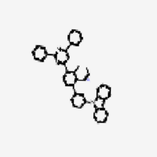 C/C=C\c1c(-c2cccc(-n3c4ccccc4c4ccccc43)c2)ccc(-c2cc(-c3ccccc3)nc(-c3ccccc3)n2)c1C